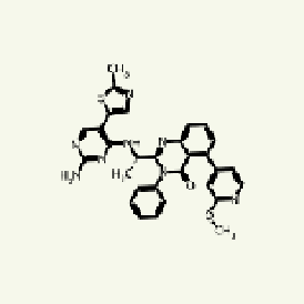 COc1cc(-c2cccc3nc([C@H](C)Nc4nc(N)ncc4-c4cnc(C)s4)n(-c4ccccc4)c(=O)c23)ccn1